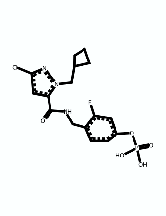 O=C(NCc1ccc(OP(=O)(O)O)cc1F)c1cc(Cl)nn1CC1CCC1